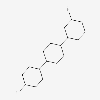 CCCCC1CCC(C2CCC(C3CCCC(CC)C3)CC2)CC1